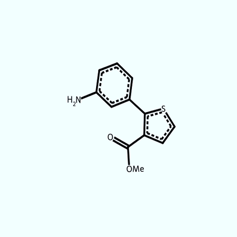 COC(=O)c1ccsc1-c1cccc(N)c1